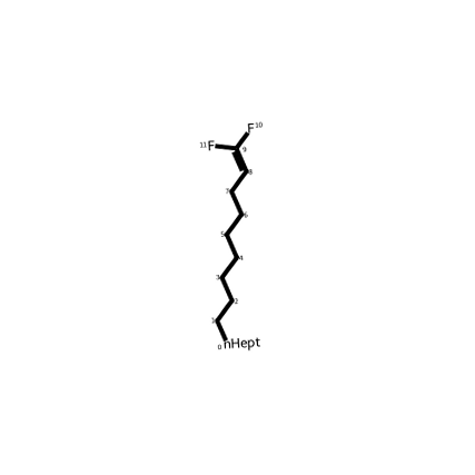 CCCCCCCCCCCCCCC=C(F)F